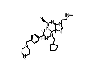 CNCCN1C=NC2(C)C1=NC(C#N)=NC2N(CC1CCCC1)NC(=O)c1ccc(CN2CCN(C)CC2)cc1